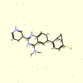 CN(C)c1nc(C2C=NC=CC2)nc2c1=CC(C1=CC=C(F)C3CC13)CC=2